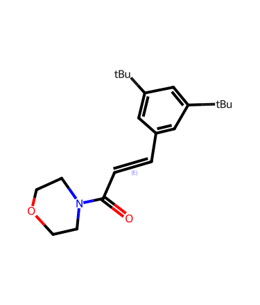 CC(C)(C)c1cc(/C=C/C(=O)N2CCOCC2)cc(C(C)(C)C)c1